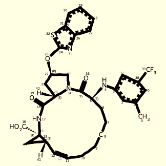 Cc1cc(N[C@H]2CCCCC/C=C\[C@@H]3C[C@@]3(C(=O)O)NC(=O)[C@@H]3C[C@@H](Oc4nc5ccccc5s4)CN3C2=O)cc(C(F)(F)F)c1